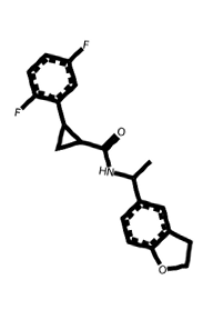 CC(NC(=O)C1CC1c1cc(F)ccc1F)c1ccc2c(c1)CCO2